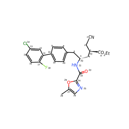 CCOC(=O)[C@H](CC#N)C[C@@H](Cc1ccc(-c2cc(Cl)ccc2F)cc1)NC(=O)c1ncc(C)o1